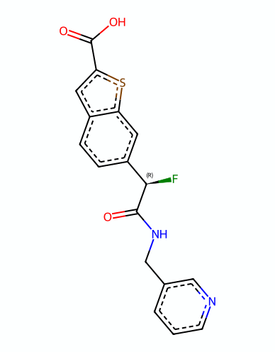 O=C(O)c1cc2ccc([C@@H](F)C(=O)NCc3cccnc3)cc2s1